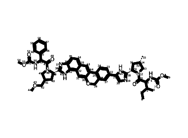 CCC(C)C(NC(=O)OC)C(=O)N1C[C@@H](C)C[C@H]1c1ncc(-c2ccc3c(c2)COc2cc4c(ccc5nc([C@@H]6CC(COC)CN6C(=O)C(NC(=O)OC)c6ccccc6)[nH]c54)cc2-3)[nH]1